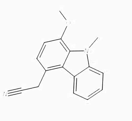 COc1ccc(CC#N)c2c3ccccc3n(C)c12